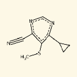 CSc1c(C#N)ncnc1C1CC1